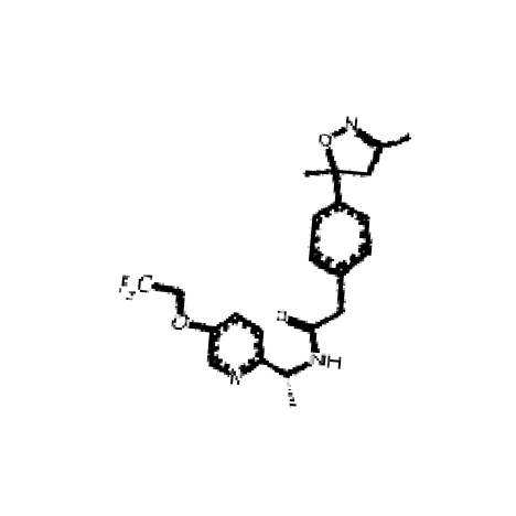 CC1=NOC(C)(c2ccc(CC(=O)N[C@H](C)c3ccc(OCC(F)(F)F)cn3)cc2)C1